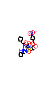 C=C(C)C(C(=O)OCc1ccc([N+](=O)[O-])cc1)N1C(=O)[C@@H](NC(=O)Cc2ccccc2)[C@H]1[S+]([O-])NCc1ccccc1